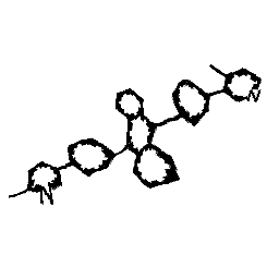 Cc1ccc(-c2ccc(-c3c4ccccc4c(-c4ccc(-c5cnccc5C)cc4)c4ccccc34)cc2)cn1